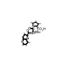 CC(C)(C)[C@H](NC(=O)c1ccc2ncccc2n1)C(=O)N1CCC[C@@H]1C(=O)O